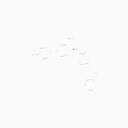 CN(C)[C@H]1C[C@@H](c2ccc(Cl)c(C(F)(F)F)c2)CC[C@@H]1Nc1cc(F)c(S(=O)(=O)Nc2ccncn2)cc1Cl